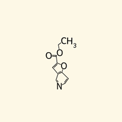 CCOC(=O)c1cc2cnccc2o1